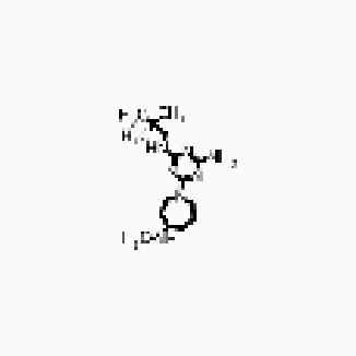 CNC1CCCN(c2nc(N)nc(NCC(C)(C)C)n2)CC1